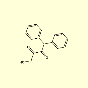 O=C(CO)C(=O)C(c1ccccc1)c1ccccc1